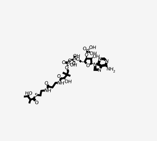 CC(O)C(C)C(=O)SCCNC(=O)CCNC(=O)[C@H](O)C(C)(C)COP(=O)(O)OP(=O)(O)OC[C@H]1O[C@@H](n2cnc3c(N)ncnc32)[C@H](O)[C@@H]1OP(=O)(O)O